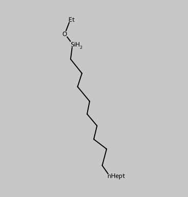 CCCCCCCCCCCCCCCC[SiH2]OCC